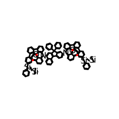 C[Si](C)(C)CC[Si](C)(c1ccccc1)c1ccc(-c2cccc3c2oc2c(N(c4ccc5c(c4)C(c4ccccc4)(c4ccccc4)c4cc(N(c6cccc7ccccc67)c6cccc7c6oc6c(-c8ccc([Si](C)(CC[Si](C)(C)C)c9ccccc9)cc8)cccc67)c6ccccc6c4-5)c4cccc5ccccc45)cccc23)cc1